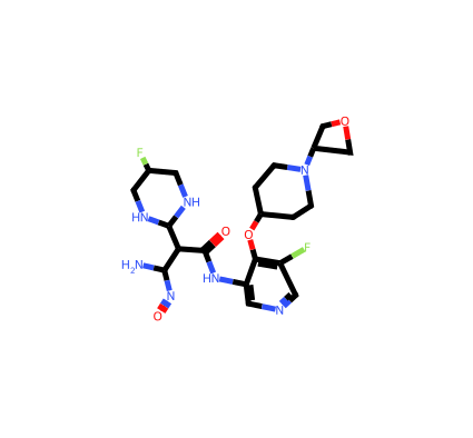 NC(N=O)C(C(=O)Nc1cncc(F)c1OC1CCN(C2COC2)CC1)C1NCC(F)CN1